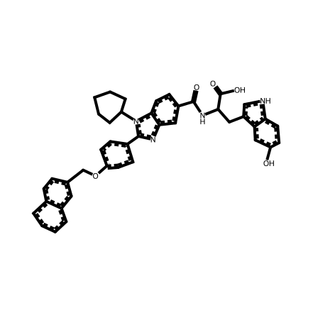 O=C(NC(Cc1c[nH]c2ccc(O)cc12)C(=O)O)c1ccc2c(c1)nc(-c1ccc(OCc3ccc4ccccc4c3)cc1)n2C1CCCCC1